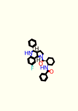 O=C(N[C@@H]1CCCC[C@@H]1C(=O)N1CC[C@@H]2[C@@H](c3ccccc3)Nc3ccc(F)cc3[C@H]21)c1ccccc1